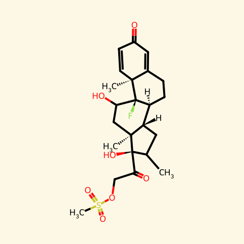 CC1C[C@H]2[C@@H]3CCC4=CC(=O)C=C[C@]4(C)[C@@]3(F)C(O)C[C@]2(C)[C@@]1(O)C(=O)COS(C)(=O)=O